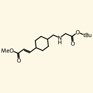 COC(=O)/C=C/C1CCC(CNCC(=O)OC(C)(C)C)CC1